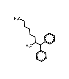 CCCCCCC(C)C(c1ccccc1)c1ccccc1